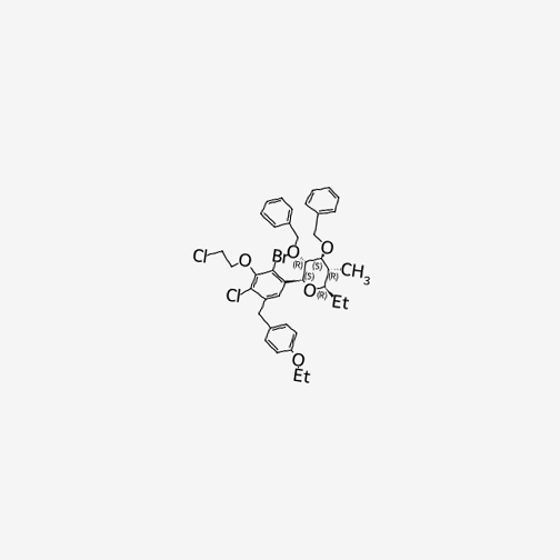 CCOc1ccc(Cc2cc([C@@H]3O[C@H](CC)[C@@H](C)[C@H](OCc4ccccc4)[C@H]3OCc3ccccc3)c(Br)c(OCCCl)c2Cl)cc1